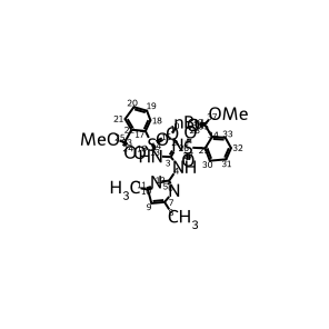 CCCCO[N+](=C(Nc1nc(C)cc(C)n1)NS(=O)(=O)c1ccccc1C(=O)OC)S(=O)(=O)c1ccccc1C(=O)OC